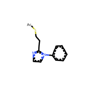 CC(=O)SCCc1nccn1-c1ccccc1